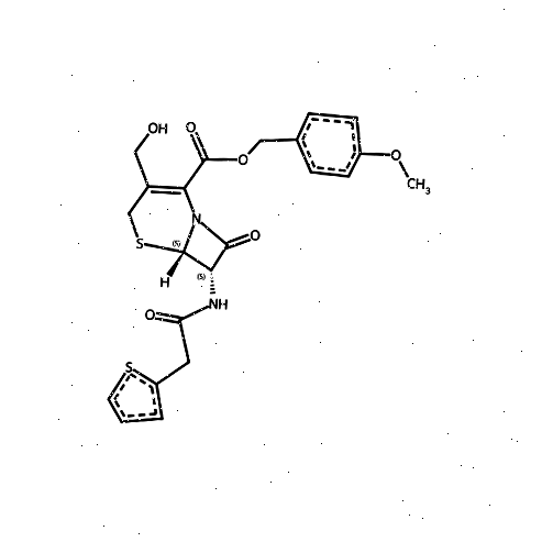 COc1ccc(COC(=O)C2=C(CO)CS[C@H]3[C@@H](NC(=O)Cc4cccs4)C(=O)N23)cc1